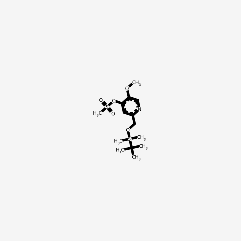 COc1cnc(CO[Si](C)(C)C(C)(C)C)cc1OS(C)(=O)=O